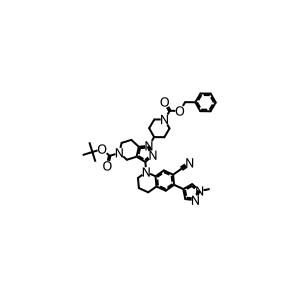 Cn1cc(-c2cc3c(cc2C#N)N(c2nn(C4CCN(C(=O)OCc5ccccc5)CC4)c4c2CN(C(=O)OC(C)(C)C)CC4)CCC3)cn1